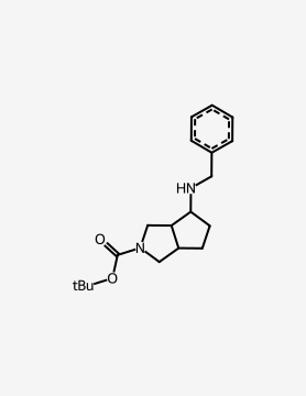 CC(C)(C)OC(=O)N1CC2CCC(NCc3ccccc3)C2C1